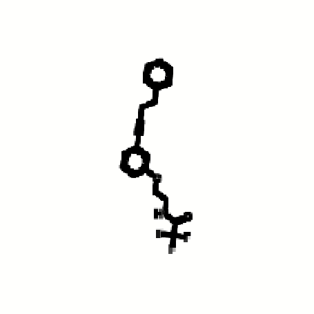 O=C(NCCOc1cccc(C#CCCc2ccccc2)c1)C(F)(F)F